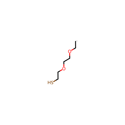 [CH2]COCCOCCS